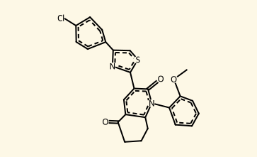 COc1ccccc1-n1c2c(cc(-c3nc(-c4ccc(Cl)cc4)cs3)c1=O)C(=O)CCC2